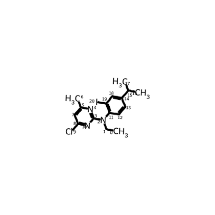 CCN(c1nc(C)cc(Cl)n1)c1ccc(C(C)C)cc1I